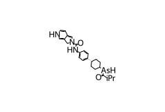 CC(C)C(=O)[AsH][C@H]1CC[C@H](c2ccc(NC(=O)N3C=C4C=CNC=C4C3)cc2)CC1